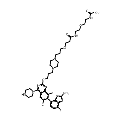 CCCCC(=O)NCCOCCNC(=O)CCOCCCN1CCN(CCCOc2nc(N3CCNCC3)c3cc(Cl)c(-c4ccc(F)c5sc(N)nc45)c(F)c3n2)CC1